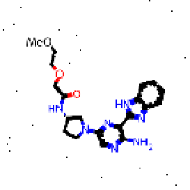 COCCOCC(=O)N[C@H]1CCN(c2cnc(N)c(-c3nc4ccccc4[nH]3)n2)C1